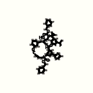 CC(C)c1cccc(C2(N(C[C@@H](O)[C@@H]3Cc4cccc(c4)OC/C=C\CN(C(=O)OCc4ccccc4)c4cc(cc(-c5nccs5)c4)C(=O)N3)C(=O)OCc3ccccc3)CC2)c1